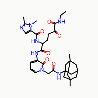 CCNC(=O)C(=O)CCC(NC(=O)c1cnc(C)n1C)C(=O)Nc1cccn(CC(=O)NC23CC4CC(C)(CC(C)(C4)C2)C3)c1=O